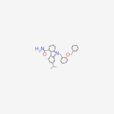 CC(C)c1c[c]c2c3c(C(N)=O)cccc3n(Cc3ccccc3OCc3ccccc3)c2c1